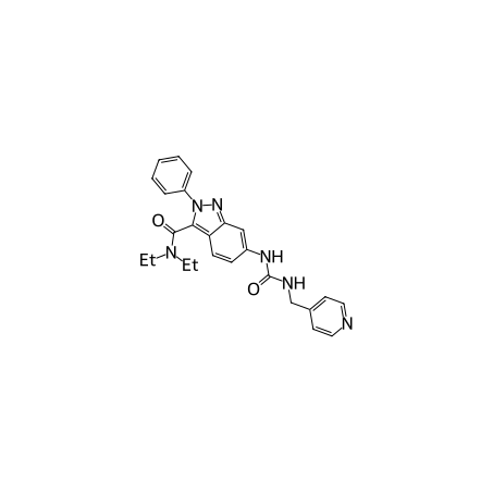 CCN(CC)C(=O)c1c2ccc(NC(=O)NCc3ccncc3)cc2nn1-c1ccccc1